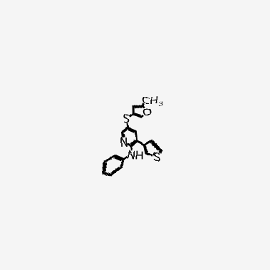 Cc1cc(Sc2cnc(Nc3ccccc3)c(-c3ccsc3)c2)co1